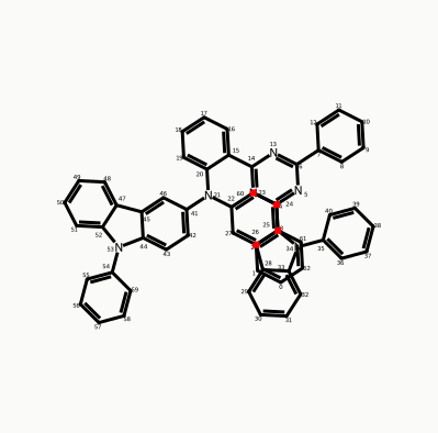 c1ccc(-c2nc(-c3ccccc3)nc(-c3ccccc3N(c3ccc4c(c3)c3ccccc3n4-c3ccccc3)c3ccc4c(c3)c3ccccc3n4-c3ccccc3)n2)cc1